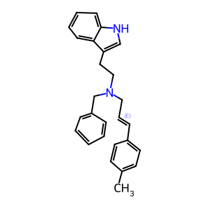 Cc1ccc(/C=C/CN(CCc2c[nH]c3ccccc23)Cc2ccccc2)cc1